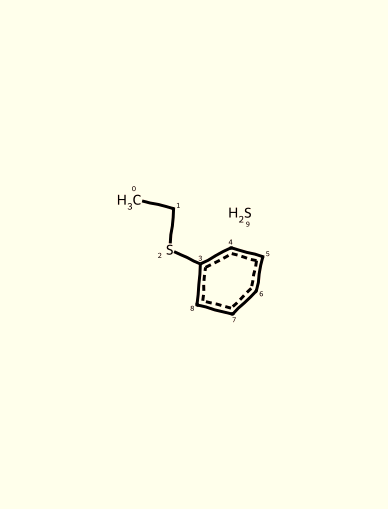 CCSc1ccccc1.S